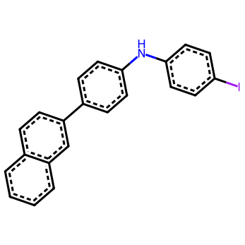 Ic1ccc(Nc2ccc(-c3ccc4ccccc4c3)cc2)cc1